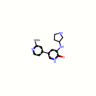 CNc1cc(-c2c[nH]c(=O)c(NC3CCNC3)c2)ccn1